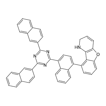 C1=Cc2oc3cccc(-c4ccc(-c5nc(-c6ccc7ccccc7c6)nc(-c6ccc7ccccc7c6)n5)c5ccccc45)c3c2NC1